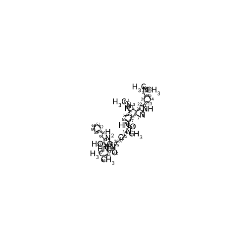 CCN1CC(c2ccnc3[nH]c(-c4cccc(CN(C)C)c4)cc23)C(c2ccc(NC(=O)N(C)CCOCCCNC(=O)C(CC(C)C)NC(=O)C(O)C(N)CCc3ccccc3)cc2)=N1